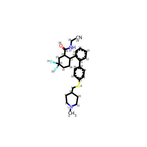 CN1CCC(CSc2ccc(-c3ccccc3C3CCC(F)(F)CC3C(=O)NCC#N)cc2)CC1